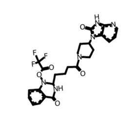 O=C1NC(CCCC(=O)N2CCC(n3c(=O)[nH]c4ncccc43)CC2)N(OC(=O)C(F)(F)F)c2ccccc21